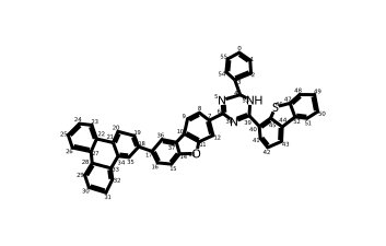 c1ccc(C2N=C(c3ccc4c(c3)oc3ccc(-c5ccc6c7ccccc7c7ccccc7c6c5)cc34)N=C(c3cccc4c3sc3ccccc34)N2)cc1